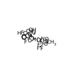 CC(C)(C)N(C(=O)O)[C@H]1C[C@@H](N2Cc3nc(S(C)(=O)=O)n(CC(F)(F)F)c3C2)CO[C@@H]1c1cc(F)ccc1F